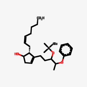 CC(Oc1ccccc1)C(CCC1=CCC(O)[C@@H]1C/C=C\CCCC(=O)O)O[Si](C)(C)C(C)(C)C